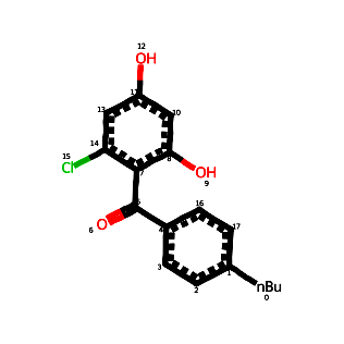 CCCCc1ccc(C(=O)c2c(O)cc(O)cc2Cl)cc1